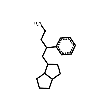 NCCC(CC1CCC2CCCC21)c1ccccc1